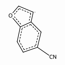 N#Cc1ccc2oc[c]c2c1